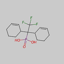 O=P(O)(O)C(C1C=CCCC1)(C1C=CCCC1)C(F)(F)F